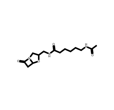 CC(=O)NCCCCCC(=O)NCC1CN2C(=O)CC2O1